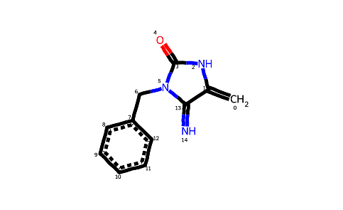 C=C1NC(=O)N(Cc2ccccc2)C1=N